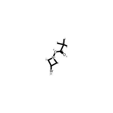 CC(C)(C)C(=O)ON1CC(Br)C1